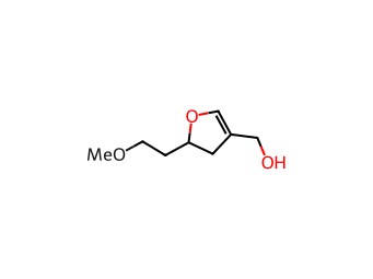 COCCC1CC(CO)=CO1